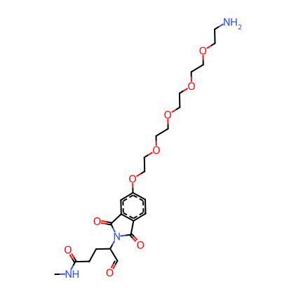 CNC(=O)CCC(C=O)N1C(=O)c2ccc(OCCOCCOCCOCCOCCN)cc2C1=O